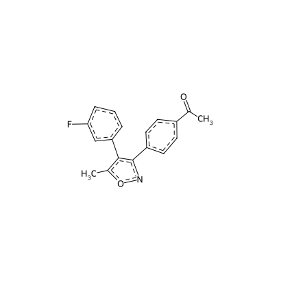 CC(=O)c1ccc(-c2noc(C)c2-c2cccc(F)c2)cc1